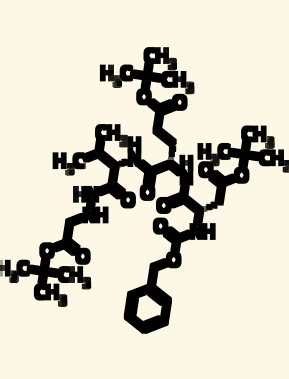 CC(C)[C@H](NC(=O)[C@H](CCC(=O)OC(C)(C)C)NC(=O)[C@H](CC(=O)OC(C)(C)C)NC(=O)OCc1ccccc1)C(=O)NNCC(=O)OC(C)(C)C